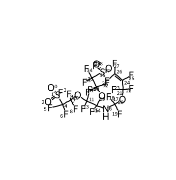 O=S(=O)(F)C(F)(F)C(F)(F)OC(F)(F)C(F)(NC(F)(F)OC(F)(F)C(F)=C(F)F)OC(F)(F)C(F)(F)S(=O)(=O)F